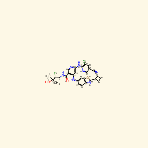 CC(C)(O)[C@H](F)CNC(=O)c1cnc(Nc2ncc(C#N)cc2Cl)cc1Nc1ccc2nc(C3CCC3)sc2c1